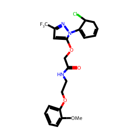 COc1ccccc1OCCNC(=O)COc1cc(C(F)(F)F)nn1C1=CC=CCC1Cl